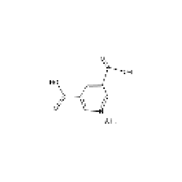 O=C(O)c1cncc(C(=O)O)c1.[AlH3]